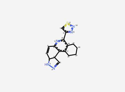 C1=CC2NN=CC2c2c1nc(-c1csnn1)c1c2CCCC1